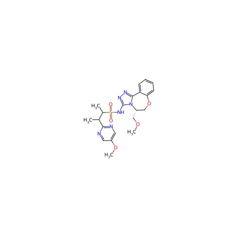 COC[C@H]1COc2ccccc2-c2nnc(NS(=O)(=O)C(C)C(C)c3ncc(OC)cn3)n21